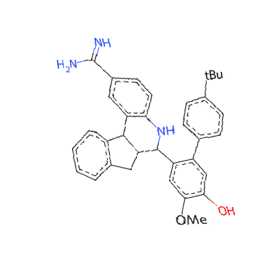 COc1cc(C2Nc3ccc(C(=N)N)cc3C3c4ccccc4CC23)c(-c2ccc(C(C)(C)C)cc2)cc1O